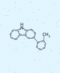 Cc1ccccc1-c1ccc2[nH]c3ccccc3c2c1